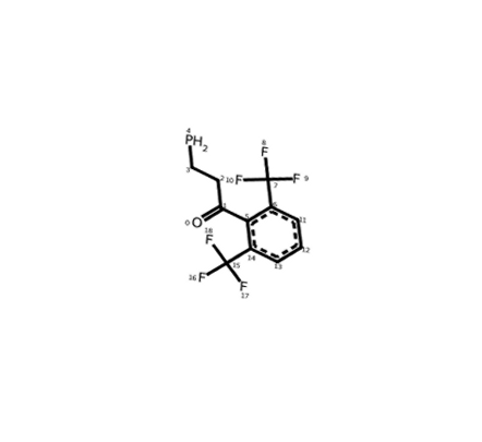 O=C(CCP)c1c(C(F)(F)F)cccc1C(F)(F)F